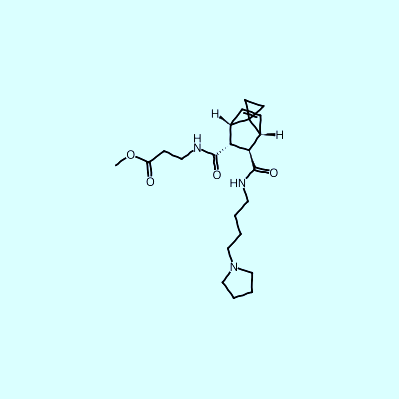 COC(=O)CCNC(=O)[C@H]1[C@H](C(=O)NCCCCN2CCCC2)[C@H]2C=C[C@@H]1C21CC1